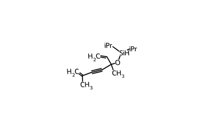 C=CC(C)(C#CC(=C)C)O[SiH](C(C)C)C(C)C